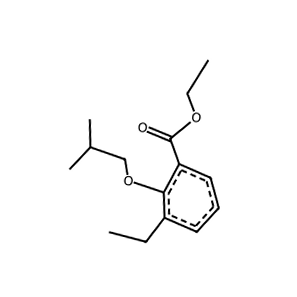 CCOC(=O)c1cccc(CC)c1OCC(C)C